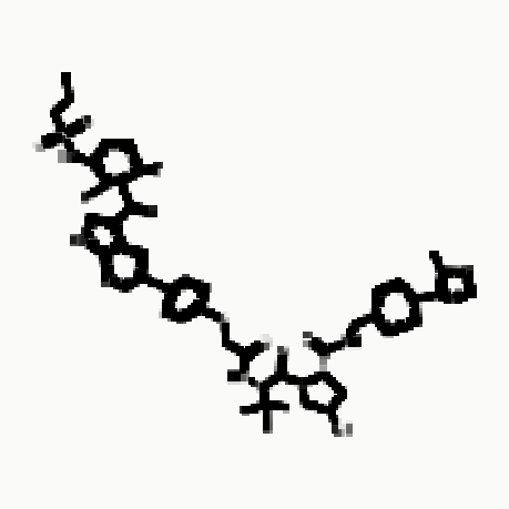 CCCS(=O)(=O)Nc1ccc(F)c(C(=O)c2c[nH]c3ncc(-c4ccc(OCC(=O)N[C@H](C(=O)N5C[C@H](O)C[C@H]5C(=O)NCc5ccc(-c6scnc6C)cc5)C(C)(C)C)cc4)cc23)c1F